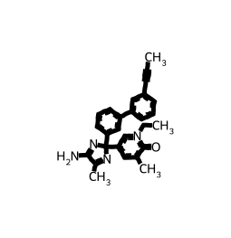 CC#Cc1cccc(-c2cccc(C3(c4cc(C)c(=O)n(CC)c4)N=C(C)C(N)=N3)c2)c1